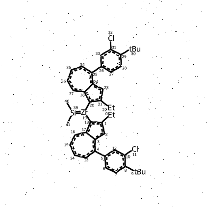 CCc1cc2c(-c3ccc(C(C)(C)C)c(Cl)c3)ccccc-2[c]1[Zr]([c]1c(CC)cc2c(-c3ccc(C(C)(C)C)c(Cl)c3)ccccc1-2)=[Si](C)C